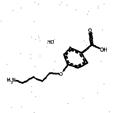 Cl.NCCCCOc1ccc(C(=O)O)cc1